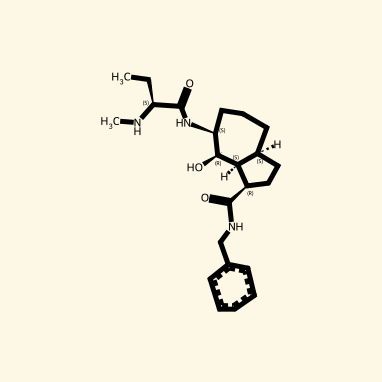 CC[C@H](NC)C(=O)N[C@H]1CCC[C@H]2CC[C@@H](C(=O)NCc3ccccc3)[C@H]2[C@H]1O